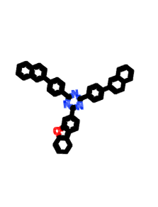 C1=CC2=CC(c3ccc(-c4nc(-c5ccc(-c6ccc7ccccc7c6)cc5)nc(-c5ccc6c7c(oc6c5)C=CCC7)n4)cc3)=CCC2C=C1